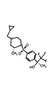 C[C@@H]1CN(CC2CC2)CCN1S(=O)(=O)c1ccc([C@](C)(O)C(F)(F)F)cc1